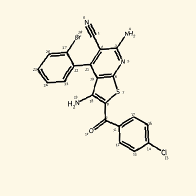 N#Cc1c(N)nc2sc(C(=O)c3ccc(Cl)cc3)c(N)c2c1-c1ccccc1Br